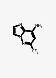 Nc1cc(C(F)(F)F)nn2ccnc12